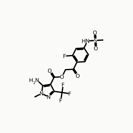 Cn1nc(C(F)(F)F)c(C(=O)OCC(=O)c2ccc(NS(C)(=O)=O)cc2F)c1N